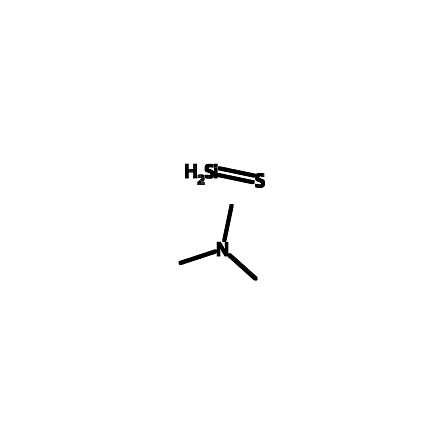 CN(C)C.[SiH2]=S